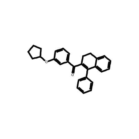 O=C(C1=C(c2ccccc2)c2ccccc2CC1)c1cccc(OC2CCCC2)c1